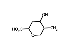 CC1COC(C(=O)O)CC1O